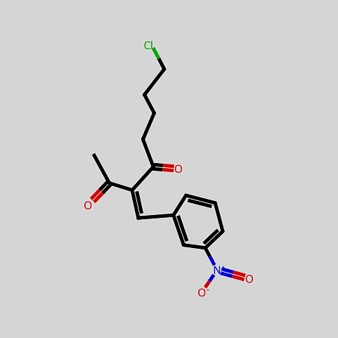 CC(=O)C(=Cc1cccc([N+](=O)[O-])c1)C(=O)CCCCCl